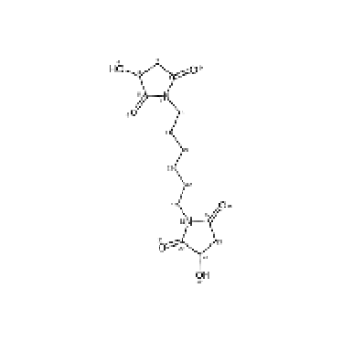 O=C1CC(O)C(=O)N1CCCCCCN1C(=O)CC(O)C1=O